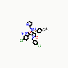 Cc1ccc(S[C@@]2(C(=O)NCc3ccccn3)CC(=O)N(Cc3ccc(Cl)cc3)[C@H]2c2c[nH]c3cc(Cl)ccc23)cc1